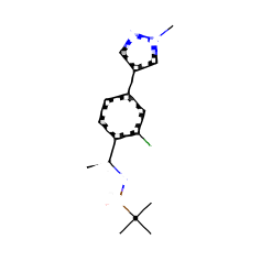 C[C@H](N[S@@+]([O-])C(C)(C)C)c1ccc(-c2cnn(C)c2)cc1F